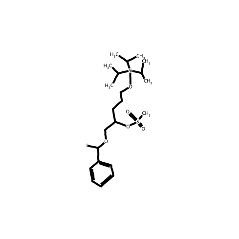 CC(C)[Si](OCCCC(COC(I)c1ccccc1)OS(C)(=O)=O)(C(C)C)C(C)C